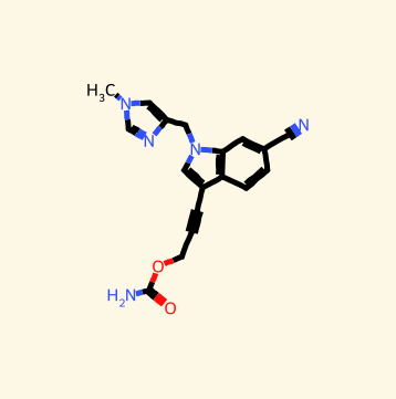 Cn1cnc(Cn2cc(C#CCOC(N)=O)c3ccc(C#N)cc32)c1